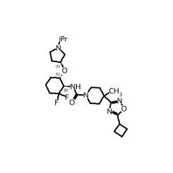 CC(C)N1CC[C@H](O[C@H]2CCCC(F)(F)[C@@H]2NC(=O)N2CCC(C)(c3noc(C4CCC4)n3)CC2)C1